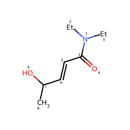 CCN(CC)C(=O)C=CC(C)O